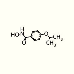 CC(C)Oc1ccc(C(=O)NO)cc1